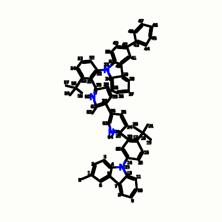 Cc1ccc2c(c1)c1ccccc1n2-c1ccc(C(C)(C)C)c(-c2ccc(-c3ccc(-c4c(-n5c6ccccc6c6cc(-c7ccccc7)ccc65)cccc4C(C)(C)C)nc3C)cn2)c1